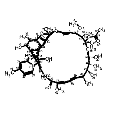 CO[C@H]1/C=C/O[C@@]2(C)Oc3c(C)c(O)c4c(O)c(c5c(c4c3C2=O)NC2C=C(C)C=CN52)NC(=O)/C(C)=C\C=C\[C@H](C)[C@H](O)[C@@H](C)[C@@H](O)C[C@@](C)(OC(C)=O)[C@@H]1C